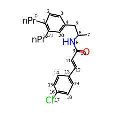 CCCc1ccc(CC(C)NC(=O)C=Cc2ccc(Cl)cc2)cc1CCC